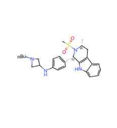 CCCCN1CC(Nc2ccc([C@H]3c4[nH]c5ccccc5c4C[C@@H](C)N3S(C)(=O)=O)cc2)C1